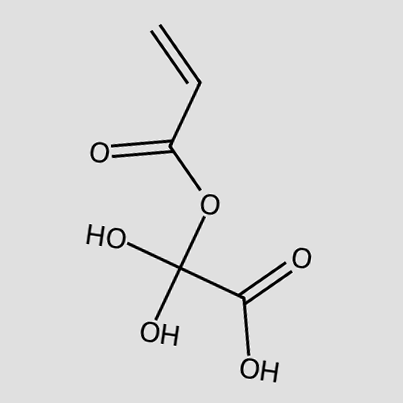 C=CC(=O)OC(O)(O)C(=O)O